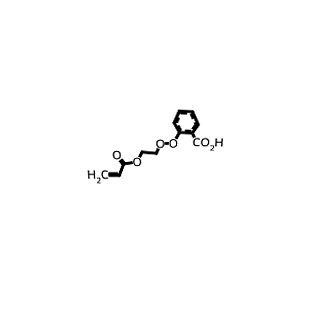 C=CC(=O)OCCOOc1ccccc1C(=O)O